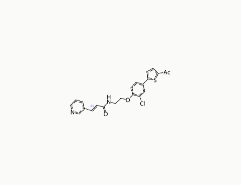 CC(=O)c1ccc(-c2ccc(OCCNC(=O)/C=C/c3cccnc3)c(Cl)c2)s1